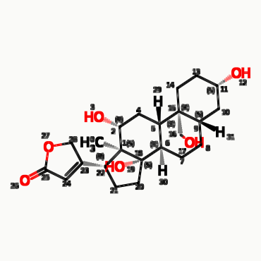 C[C@]12[C@H](O)C[C@H]3[C@@H](CC[C@H]4C[C@@H](O)CC[C@@]43CO)[C@@]1(O)CC[C@@H]2C1=CC(=O)OC1